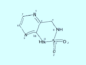 O=S1(=O)NCc2nc[c]nc2N1